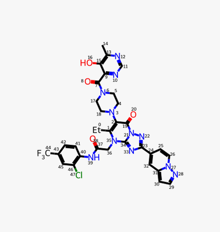 CCc1c(N2CCN(C(=O)c3ncnc(C)c3O)CC2)c(=O)n2nc(-c3ccn4nccc4c3)nc2n1CC(=O)Nc1ccc(C(F)(F)F)cc1Cl